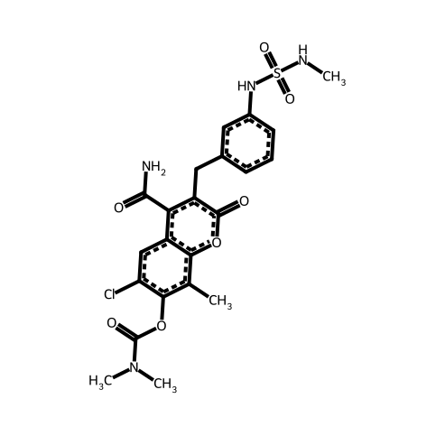 CNS(=O)(=O)Nc1cccc(Cc2c(C(N)=O)c3cc(Cl)c(OC(=O)N(C)C)c(C)c3oc2=O)c1